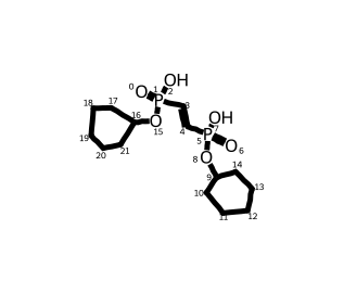 O=P(O)(C=CP(=O)(O)OC1CCCCC1)OC1CCCCC1